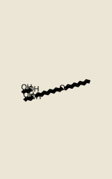 CC(O)CO.CC(O)CO.CCCCCCCCCOCCCCCCCCC